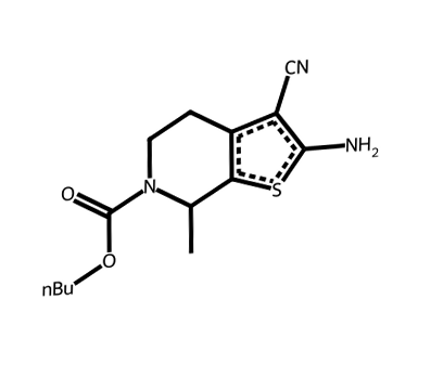 CCCCOC(=O)N1CCc2c(sc(N)c2C#N)C1C